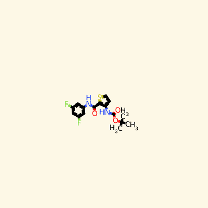 CC(C)(C)OC(=O)Nc1ccsc1C(=O)Nc1cc(F)cc(F)c1